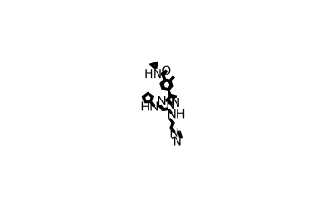 Cc1cc(-c2cnn3c(NCCCn4ccnc4)cc(NC4CCCC4)nc23)ccc1C(=O)NC1CC1